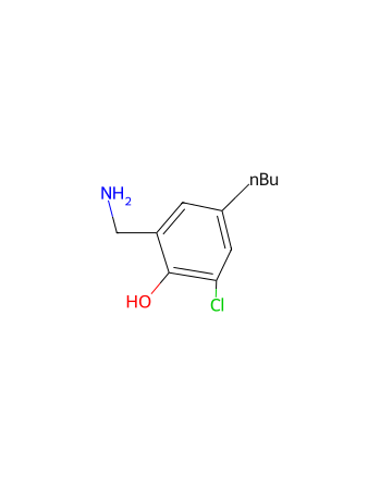 CCCCc1cc(Cl)c(O)c(CN)c1